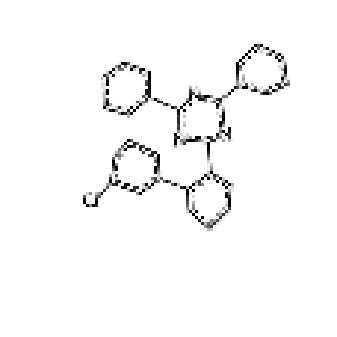 Clc1cccc(-c2ccccc2-c2nc(-c3ccccc3)nc(-c3ccccc3)n2)c1